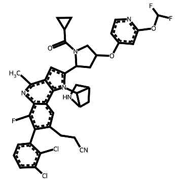 Cc1nc2c(F)c(-c3cccc(Cl)c3Cl)c(CCC#N)cc2c2c1cc(C1CC(Oc3ccnc(OC(F)F)c3)CN1C(=O)C1CC1)n2C1C2CNC1C2